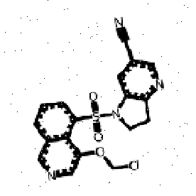 N#Cc1cnc2c(c1)N(S(=O)(=O)c1cccc3cncc(OCCl)c13)CC2